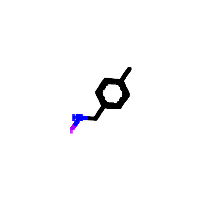 Cc1ccc(CNI)cc1